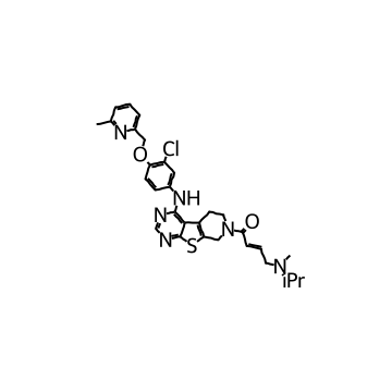 Cc1cccc(COc2ccc(Nc3ncnc4sc5c(c34)CCN(C(=O)C=CCN(C)C(C)C)C5)cc2Cl)n1